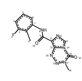 Cc1c(F)cccc1NC(=O)c1ncn2c(=O)n(C)nnc12